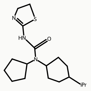 CC(C)C1CCC(N(C(=O)NC2=NCCS2)C2CCCC2)CC1